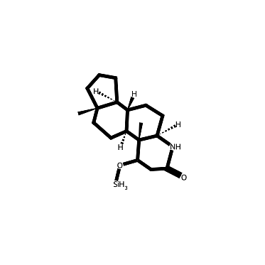 C[C@@]12CCC[C@H]1[C@@H]1CC[C@H]3NC(=O)CC(O[SiH3])[C@]3(C)[C@H]1CC2